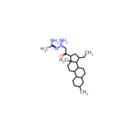 CCC1CC(C(=O)CN(N)/N=C(/C)N)C2(C)CCC3C4CCC(C)CC4CCC3C12